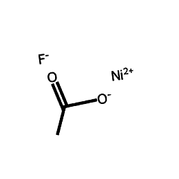 CC(=O)[O-].[F-].[Ni+2]